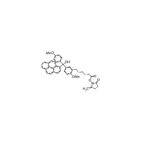 C=C1CCC(=O)N1OC(=O)CCCCCc1cc(C(O)(c2ccc(OC)cc2)c2ccc3ccc4cccc5ccc2c3c45)ccc1OC